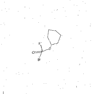 O=P(F)(Br)OC1CCCCC1